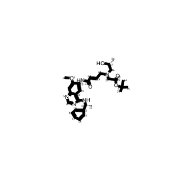 COc1cc2ncnc(N[C@H](C)c3ccccc3)c2cc1NC(=O)/C=C/CN(CC(=O)OC(C)(C)C)C[C@@H](C)O